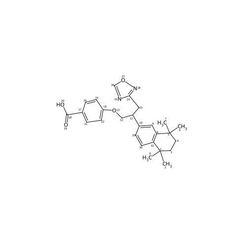 CC1(C)CCC(C)(C)c2cc(C(COc3ccc(C(=O)O)cc3)Cc3ncon3)ccc21